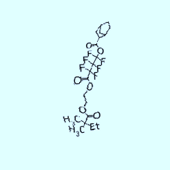 CCC(C)(C)C(=O)OCCOC(=O)C(F)(F)C(F)(F)C(F)(F)OC(=O)C1CC2CCC1C2